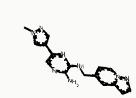 Cn1cc(-c2cnc(N)c(NCc3ccn4nccc4c3)n2)cn1